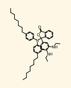 CCCCCCCCc1ccc(N(c2ccc(CCCCCCCC)cc2)C2(c3ccc(NCC)c(NCC)c3)OC(=O)c3ccccc32)cc1